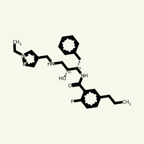 CCCc1ccc(F)c(C(=O)N[C@@H](Cc2ccccc2)[C@H](O)CNCc2cnn(CC)c2)c1